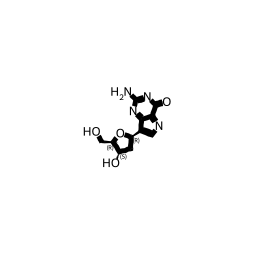 NC1=NC(=O)C2=NC=C([C@H]3C[C@H](O)[C@@H](CO)O3)C2=N1